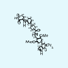 COc1cc(-c2cn(C)c(=O)c3[nH]ncc23)cc(OC)c1CNCC(=O)N1CCN(c2cccc(NC3CCC(=O)NC3=O)c2)CC1